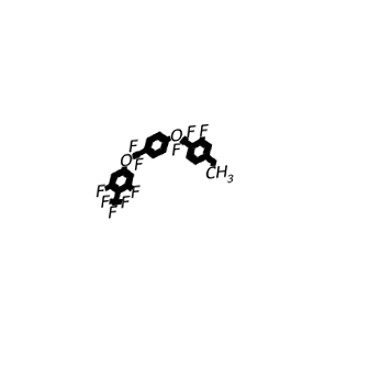 CCc1ccc(C(F)(F)Oc2ccc(C(F)(F)Oc3cc(F)c(C(F)(F)F)c(F)c3)cc2)c(F)c1